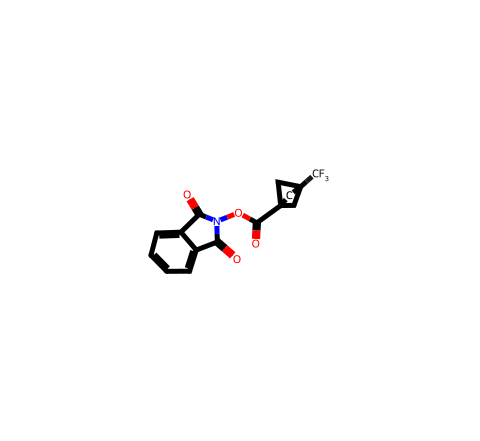 O=C1c2ccccc2C(=O)N1OC(=O)C12CC(C(F)(F)F)(C1)C2